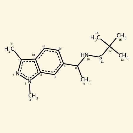 Cc1nn(C)c2cc(C(C)NSC(C)(C)C)ccc12